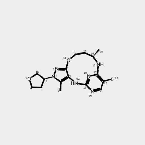 Cc1c2c(nn1[C@H]1CCOC1)OCC[C@@H](C)Nc1nc(ncc1Cl)N2